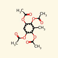 CC(=O)Oc1cc(OC(C)=O)c(OC(C)=O)c(C)c1OC(C)=O